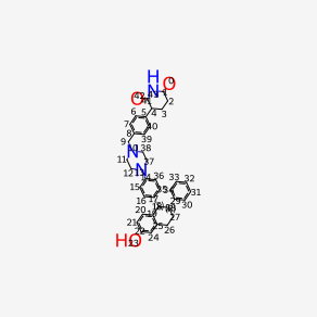 O=C1CCC(c2ccc(CN3CCN(c4ccc([C@H]5c6ccc(O)cc6CC[C@H]5c5ccccc5)cc4)CC3)cc2)C(=O)N1